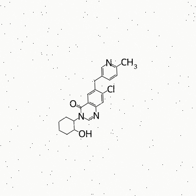 Cc1ccc(Cc2cc3c(=O)n(C4CCCCC4O)cnc3cc2Cl)cn1